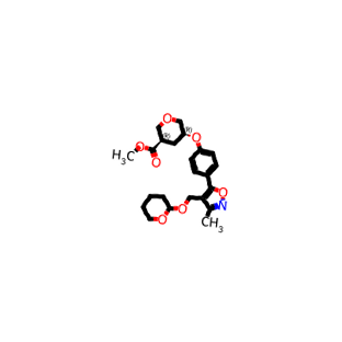 COC(=O)[C@H]1COC[C@H](Oc2ccc(-c3onc(C)c3COC3CCCCO3)cc2)C1